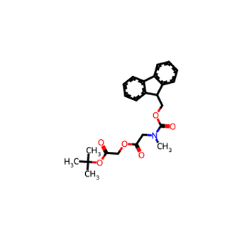 CN(CC(=O)OCC(=O)OC(C)(C)C)C(=O)OCC1c2ccccc2-c2ccccc21